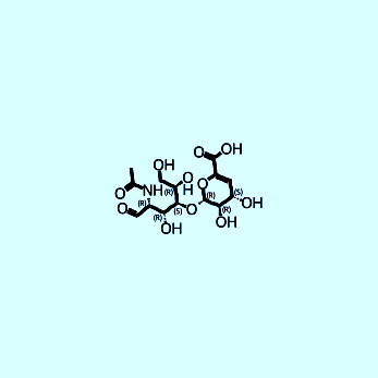 CC(=O)N[C@@H](C=O)[C@@H](O)[C@H](O[C@@H]1OC(C(=O)O)=C[C@H](O)[C@H]1O)[C@H](O)CO